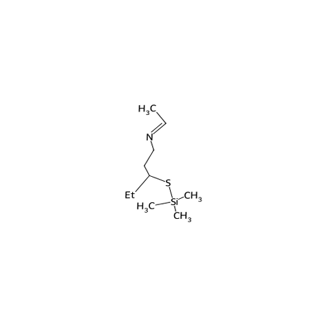 C/C=N/CCC(CC)S[Si](C)(C)C